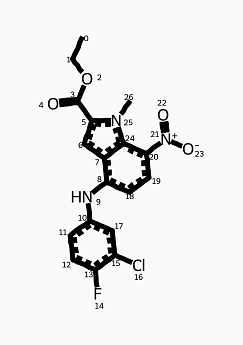 CCOC(=O)c1cc2c(Nc3ccc(F)c(Cl)c3)ccc([N+](=O)[O-])c2n1C